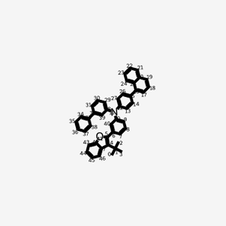 CC(C)(C)c1c(-c2cccc(N(c3ccc(-c4cccc5ccccc45)cc3)c3cccc(-c4ccccc4)c3)c2)oc2ccccc12